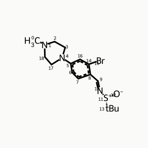 CN1CCN(c2ccc(C=N[S@+]([O-])C(C)(C)C)c(Br)c2)CC1